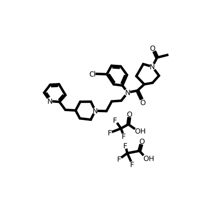 CC(=O)N1CCC(C(=O)N(CCCN2CCC(Cc3ccccn3)CC2)c2cccc(Cl)c2)CC1.O=C(O)C(F)(F)F.O=C(O)C(F)(F)F